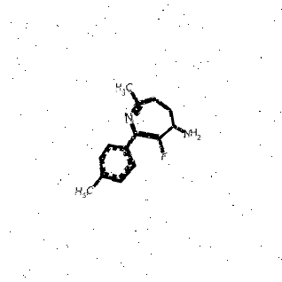 CC1=NC(c2ccc(C)cc2)=C(F)C(N)CC1